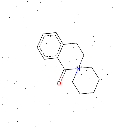 O=C1c2ccccc2CC[N+]12CCCCC2